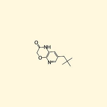 CC(C)(C)Cc1cnc2c(c1)NC(=O)CO2